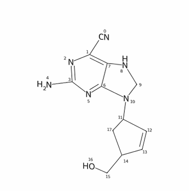 N#Cc1nc(N)nc2c1NCN2C1C=CC(CO)C1